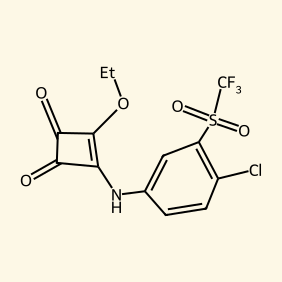 CCOc1c(Nc2ccc(Cl)c(S(=O)(=O)C(F)(F)F)c2)c(=O)c1=O